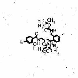 CC(C)(C)OC(=O)NCc1ccccc1CC[C@@H](CNC(=O)c1ccc(Br)cc1O)O[Si](C)(C)C(C)(C)C